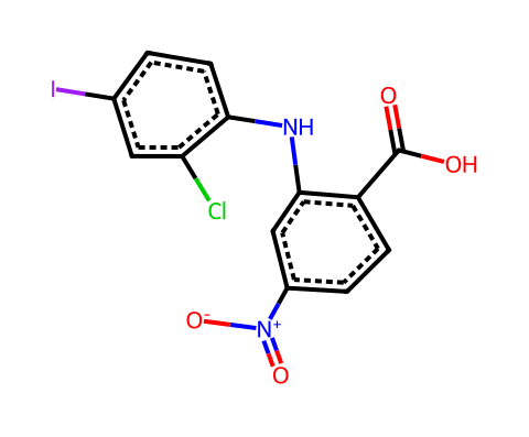 O=C(O)c1ccc([N+](=O)[O-])cc1Nc1ccc(I)cc1Cl